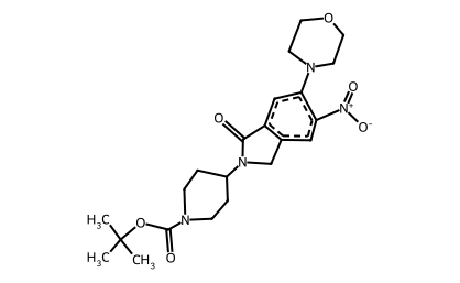 CC(C)(C)OC(=O)N1CCC(N2Cc3cc([N+](=O)[O-])c(N4CCOCC4)cc3C2=O)CC1